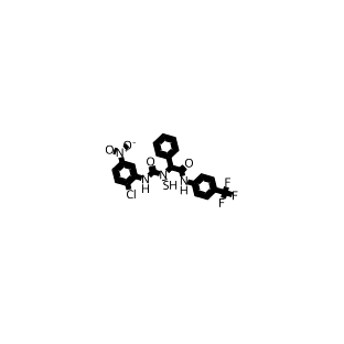 O=C(Nc1ccc(C(F)(F)F)cc1)C(c1ccccc1)N(S)C(=O)Nc1cc([N+](=O)[O-])ccc1Cl